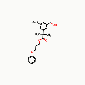 COc1cc(CO)cc(C(C)(C)C(=O)OCCCOc2ccccc2)c1